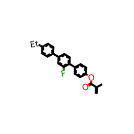 C=C(C)C(=O)Oc1ccc(-c2ccc(-c3ccc(CC)cc3)cc2F)cc1